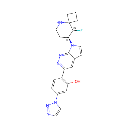 Oc1cc(-n2ccnn2)ccc1-c1cc2ccn([C@H]3CCNC4(CCC4)[C@H]3F)c2nn1